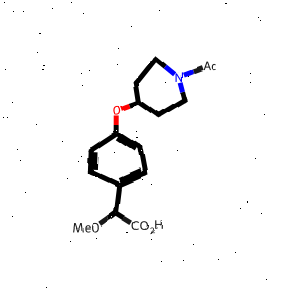 COC(C(=O)O)c1ccc(OC2CCN(C(C)=O)CC2)cc1